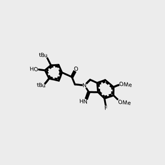 COc1cc2c(c(F)c1OC)C(=N)N(CC(=O)c1cc(C(C)(C)C)c(O)c(C(C)(C)C)c1)C2